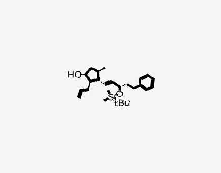 C=CC[C@@H]1[C@@H](/C=C/[C@H](CCc2ccccc2)O[Si](C)(C)C(C)(C)C)[C@H](C)C[C@H]1O